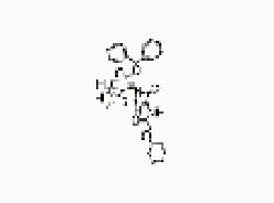 CC1(C)S[C@H]2[C@H](NC(=O)COc3ccccc3)C(=O)N2[C@H]1C(=O)OC(c1ccccc1)c1ccccc1